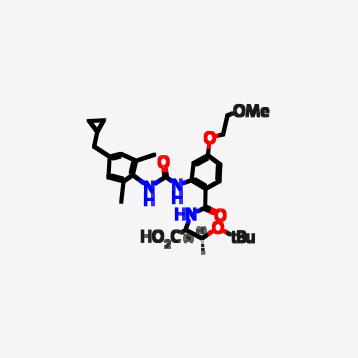 COCCOc1ccc(C(=O)N[C@H](C(=O)O)[C@@H](C)OC(C)(C)C)c(NC(=O)Nc2c(C)cc(CC3CC3)cc2C)c1